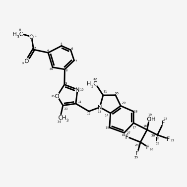 COC(=O)c1cccc(-c2nc(CN3c4ccc(C(O)(C(F)(F)F)C(F)(F)F)cc4CC3C)c(C)o2)c1